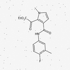 CCOC(=O)C(=O)c1c(C(=O)Nc2ccc(F)c(C)c2)ccn1C